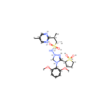 COc1cccc(OC)c1N1CN(NS(=O)(=O)[C@@H](C)[C@H](C)c2ncc(C)cn2)N=C1[C@@H]1CCCS1(=O)=O